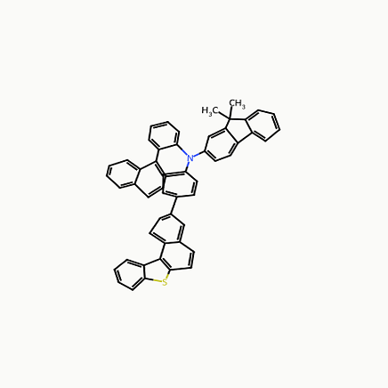 CC1(C)c2ccccc2-c2ccc(N(c3ccc(-c4ccc5c(ccc6sc7ccccc7c65)c4)cc3)c3ccccc3-c3cccc4ccccc34)cc21